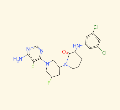 Nc1ncnc(N2CC(F)CC(N3CCCC(Nc4cc(Cl)cc(Cl)c4)C3=O)C2)c1F